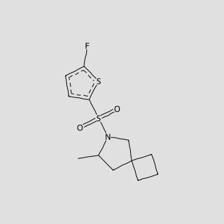 CC1CC2(CCC2)CN1S(=O)(=O)c1ccc(F)s1